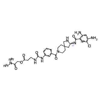 CCCN(CCC)C(=O)COC(=O)CCNC(=O)Nc1cccc(C(=O)N2CCC3(CC2)CN/C(=N\C(=O)c2nc(Cl)c(N)cc2N)C3)c1